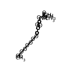 COC(=O)CCOCCOCCOCCOCCOCCOc1ccc(C2CCN(S(=O)(=O)c3ccc(C(=O)NCC(=C=O)OC(C)(C)C)cc3)CC2)cc1